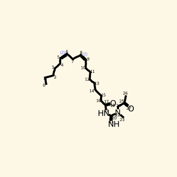 CCCCC/C=C\C/C=C\CCCCCCCC(=O)NC(=N)N(C)CC(C)=O